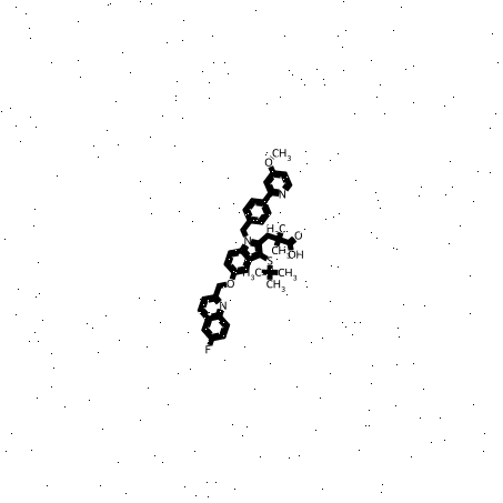 COc1ccnc(-c2ccc(Cn3c(CC(C)(C)C(=O)O)c(SC(C)(C)C)c4cc(OCc5ccc6cc(F)ccc6n5)ccc43)cc2)c1